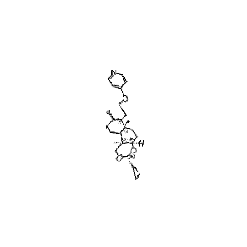 C=C1CCC2[C@]3(C)CO[C@@H](C4CC4)O[C@@H]3CC[C@@]2(C)[C@@H]1CCOc1ccncc1